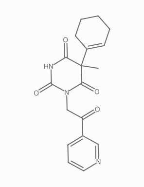 CC1(C2=CCCCC2)C(=O)NC(=O)N(CC(=O)c2cccnc2)C1=O